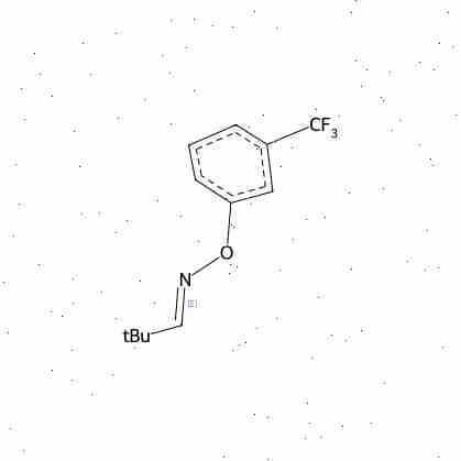 CC(C)(C)/C=N/Oc1cccc(C(F)(F)F)c1